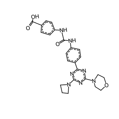 O=C(Nc1ccc(C(=O)O)cc1)Nc1ccc(-c2nc(N3CCC3)nc(N3CCOCC3)n2)cc1